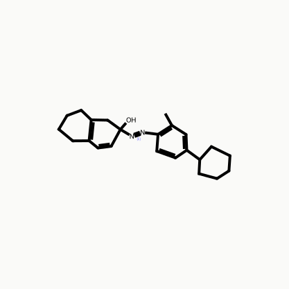 Cc1cc(C2CCCCC2)ccc1/N=N/C1(O)C=CC2=C(CCCC2)C1